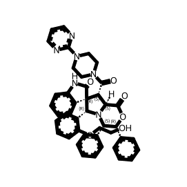 O=C1O[C@H](c2ccccc2)[C@H](c2ccccc2)N2[C@H]1[C@@H](C(=O)N1CCN(c3ncccn3)CC1)[C@]1(C(=O)Nc3ccccc31)[C@H]2c1ccccc1OCCO